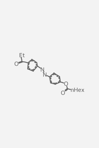 CCCCCCC(=O)Oc1ccc(N=Nc2ccc(C(=O)CC)cc2)cc1